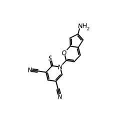 N#Cc1cc(C#N)c(=S)n(-c2ccc3cc(N)cc-3o2)c1